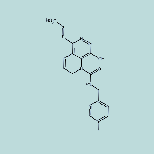 O=C(O)C=Cc1ncc(O)c2c1C=CCN2C(=O)NCc1ccc(F)cc1